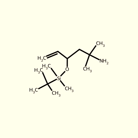 C=CC(CC(C)(C)N)O[Si](C)(C)C(C)(C)C